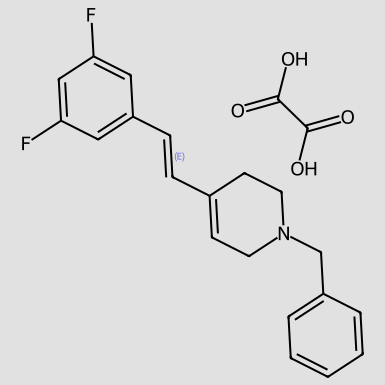 Fc1cc(F)cc(/C=C/C2=CCN(Cc3ccccc3)CC2)c1.O=C(O)C(=O)O